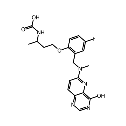 CC(CCOc1ccc(F)cc1CN(C)c1ccc2ncnc(O)c2n1)NC(=O)O